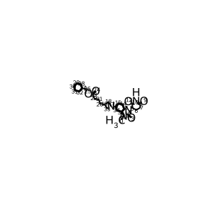 Cn1c(=O)n(C2CCC(=O)NC2=O)c2ccc(N3CC(CCCC(=O)OCc4ccccc4)C3)cc21